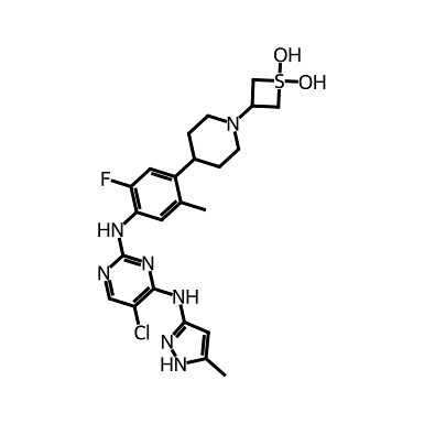 Cc1cc(Nc2nc(Nc3cc(C)c(C4CCN(C5CS(O)(O)C5)CC4)cc3F)ncc2Cl)n[nH]1